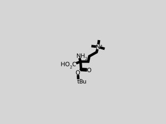 CC(C)(C)OC(=O)C(N)(CCC[N+](C)(C)C)C(=O)O